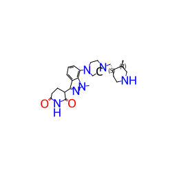 C[C@H]1CNCC[C@@H]1CN1CCN(c2cccc3c(C4CCC(=O)NC4=O)nn(C)c23)CC1